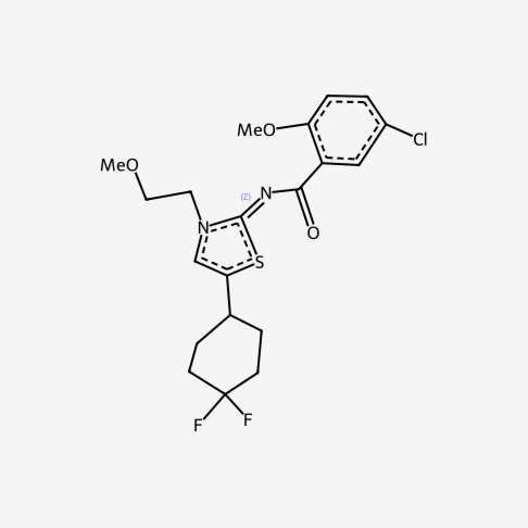 COCCn1cc(C2CCC(F)(F)CC2)s/c1=N\C(=O)c1cc(Cl)ccc1OC